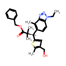 CCn1nnc2c(C)c([C@@H](c3cc(CO)c(C)s3)C(C)(C)C(=O)OCc3ccccc3)ccc21